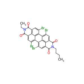 CCCCN1C(=O)c2cc(Br)c3c4c(Br)cc5c6c(cc(Br)c(c7c(Br)cc(c2c37)C1=O)c64)C(=O)N(CC)C5=O